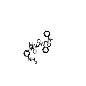 CN(C(=O)CN(C(=O)CNC(=O)Nc1cccc(N)c1)c1ccccc1)c1ccccc1